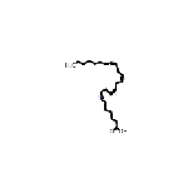 CCCCCCC/C=C\C/C=C\C/C=C\C/C=C\CCCCCC(=O)O